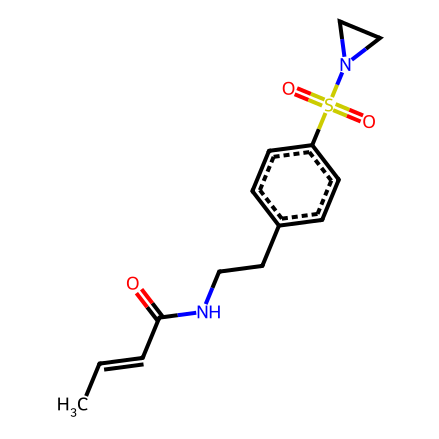 C/C=C/C(=O)NCCc1ccc(S(=O)(=O)N2CC2)cc1